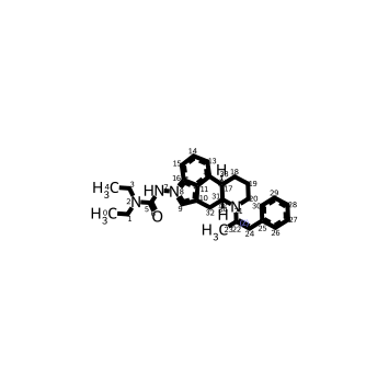 CCN(CC)C(=O)Nn1cc2c3c(cccc31)[C@H]1CCCN(/C(C)=C\c3ccccc3)[C@@H]1C2